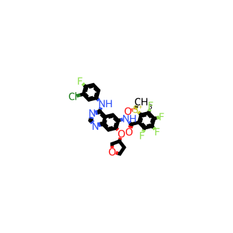 C[S+]([O-])c1c(F)c(F)c(F)c(F)c1C(=O)Nc1cc2c(Nc3ccc(F)c(Cl)c3)ncnc2cc1OC1CCOC1